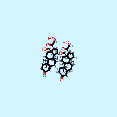 C[C@]12CCC(=O)C=C1CC[C@H]1[C@@H]3CC[C@H](C(=O)CO)[C@@]3(CO)CC[C@@H]12.C[C@]12CCC(=O)C=C1CC[C@H]1[C@@H]3CC[C@H](C(=O)CO)[C@@]3(CO)CC[C@@H]12